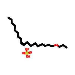 C[CH]COCCCCCCCC/C=C\CCCCCCCC.O=S(=O)(O)O